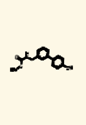 CC(C)(C)OC(=O)NCc1cccc(-c2ccc(O)cc2)c1